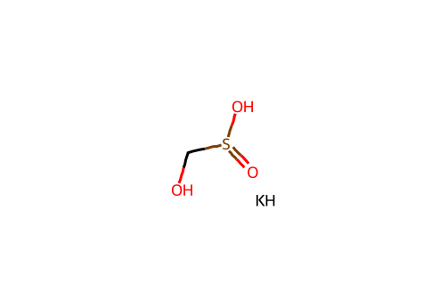 O=S(O)CO.[KH]